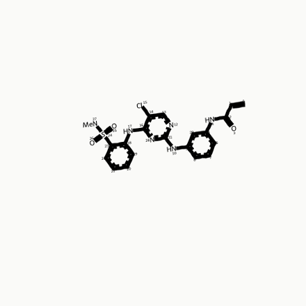 C=CC(=O)Nc1cccc(Nc2ncc(Cl)c(Nc3ccccc3S(=O)(=O)NC)n2)c1